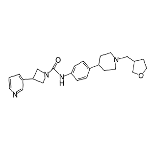 O=C(Nc1ccc(C2CCN(CC3CCOC3)CC2)cc1)N1CC(c2cccnc2)C1